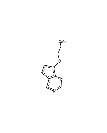 COCCOn1cnc2cncnc21